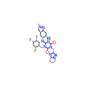 Cn1cc2cc(/N=c3\[nH]c(=O)n(Cc4nc5n(n4)CCC5)c(=O)n3Cc3cc(F)c(F)cc3F)c(Cl)cc2n1